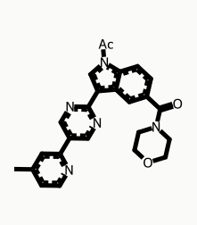 CC(=O)n1cc(-c2ncc(-c3cc(C)ccn3)cn2)c2cc(C(=O)N3CCOCC3)ccc21